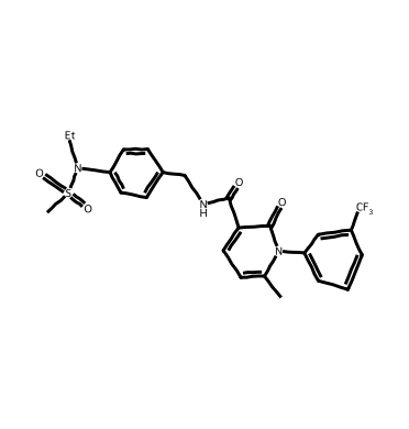 CCN(c1ccc(CNC(=O)c2ccc(C)n(-c3cccc(C(F)(F)F)c3)c2=O)cc1)S(C)(=O)=O